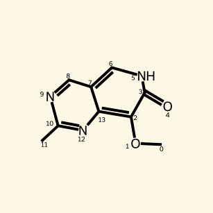 COc1c(=O)[nH]cc2cnc(C)nc12